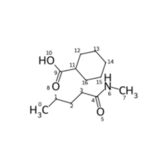 CCCCC(=O)NC.O=C(O)C1CCCCC1